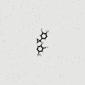 Nc1ccc(OC2(c3ccc(Cl)c(F)c3)CC2)c(F)c1